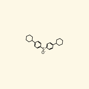 [O-][S+](c1ccc(C2CCCCC2)cc1)c1ccc(C2CCCCC2)cc1